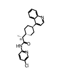 C[C@@H](C(=O)Nc1ccc(Cl)cn1)[C@H]1CC[C@H](c2ccnc3ccccc32)CC1